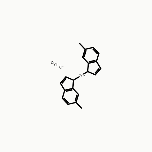 Cc1ccc2c(c1)[CH]([Zr+2][CH]1C=Cc3ccc(C)cc31)C=C2.[Cl-].[Cl-].[Zr]